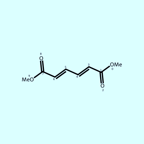 COC(=O)C=CC=CC(=O)OC